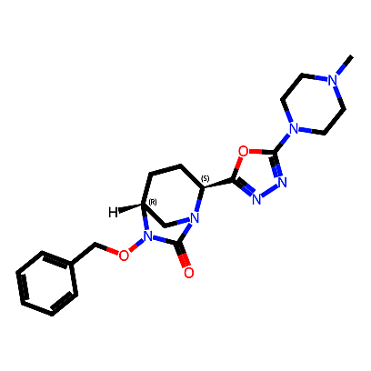 CN1CCN(c2nnc([C@@H]3CC[C@@H]4CN3C(=O)N4OCc3ccccc3)o2)CC1